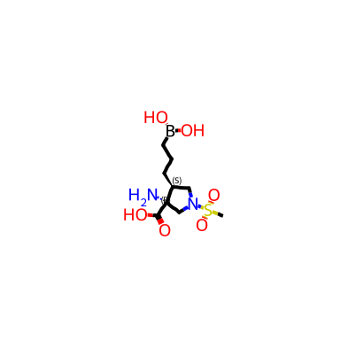 CS(=O)(=O)N1C[C@H](CCCB(O)O)[C@](N)(C(=O)O)C1